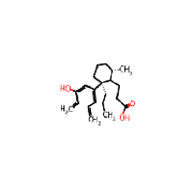 C=C/C=C(\C=C(\O)C=C)[C@@]1(CCC)CCC[C@H](C)C1CCC(=O)O